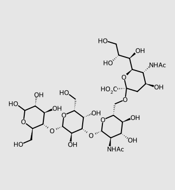 CC(=O)N[C@H]1[C@H](O[C@H]2[C@@H](O)[C@@H](CO)O[C@@H](O[C@H]3[C@H](O)[C@@H](O)C(O)O[C@@H]3CO)[C@@H]2O)O[C@H](CO[C@]2(C(=O)O)C[C@H](O)[C@@H](NC(C)=O)[C@H]([C@H](O)[C@H](O)CO)O2)[C@@H](O)[C@@H]1O